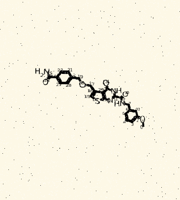 COc1cccc(CNC(=O)c2nc3scc(COCc4ccc(C(N)=O)cc4)c3c(=O)[nH]2)c1